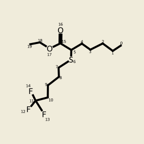 CCCCCC(SCCCCC(F)(F)F)C(=O)OCC